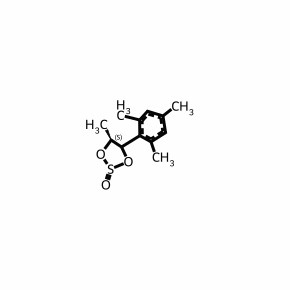 Cc1cc(C)c(C2OS(=O)O[C@H]2C)c(C)c1